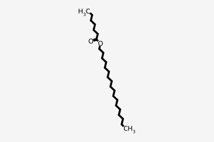 CCCCCCCCCCCCCCCCCCOC(=O)CCCCCC